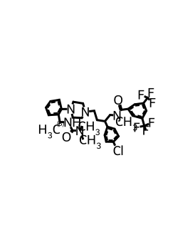 C[C@H](NC(=O)N(C)C)c1ccccc1N1CCN(CCC(CN(C)C(=O)c2cc(C(F)(F)F)cc(C(F)(F)F)c2)c2ccc(Cl)cc2)CC1